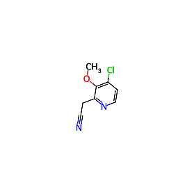 COc1c(Cl)ccnc1CC#N